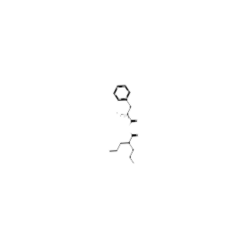 CCCC(CCC)C(=O)OC(=O)[C@@H](N)Cc1ccccc1